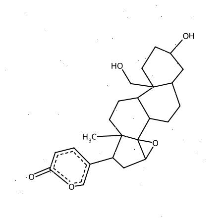 CC12CCC3C(CCC4CC(O)CCC43CO)C13OC3CC2c1ccc(=O)oc1